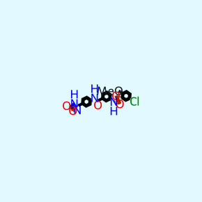 COc1ccc(Cl)cc1S(=O)(=O)Nc1cccc(C(=O)Nc2ccc(-c3noc(=O)[nH]3)cc2)c1